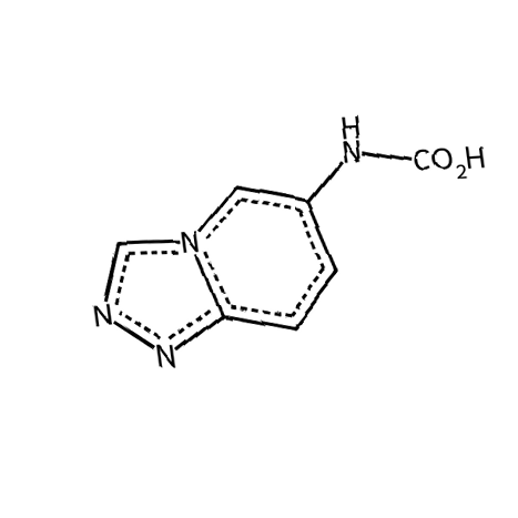 O=C(O)Nc1ccc2nncn2c1